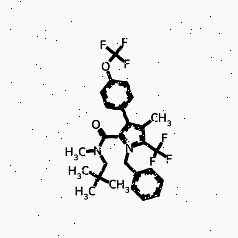 Cc1c(-c2ccc(OC(F)(F)F)cc2)c(C(=O)N(C)CC(C)(C)C)n(Cc2ccccc2)c1C(F)(F)F